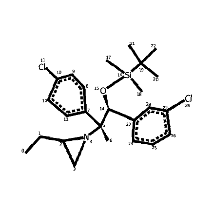 CCC1CN1[C@](C)(c1ccc(Cl)cc1)[C@@H](O[Si](C)(C)C(C)(C)C)c1cccc(Cl)c1